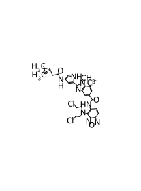 Cn1c(-c2cc(NC(=O)CC[S+](C)C)c[nH]2)nc2cc(C(=O)Nc3ccc4nonc4c3N(CCCl)CCCl)ccc21.[Cl-]